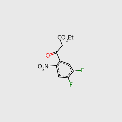 CCOC(=O)CC(=O)c1cc(F)c(F)cc1[N+](=O)[O-]